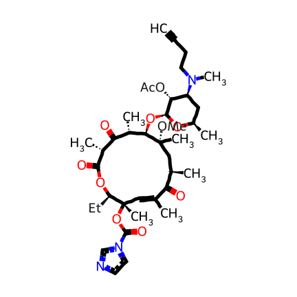 C#CCCN(C)[C@H]1C[C@@H](C)O[C@@H](O[C@@H]2[C@@H](C)C(=O)[C@@H](C)C(=O)O[C@H](CC)[C@@](C)(OC(=O)n3ccnc3)/C=C(\C)C(=O)[C@H](C)C[C@@]2(C)OC)[C@@H]1OC(C)=O